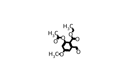 CCOC(=O)c1c(C=O)cc(OC)cc1OC(C)=O